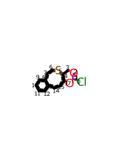 ClP1OCc2sccc3ccccc3ccc2O1